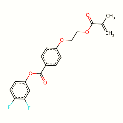 C=C(C)C(=O)OCCOc1ccc(C(=O)Oc2ccc(F)c(F)c2)cc1